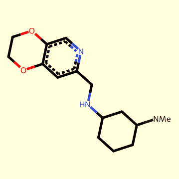 CNC1CCCC(NCc2cc3c(cn2)OCCO3)C1